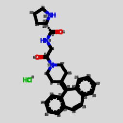 Cl.O=C(NCC(=O)N1CCC(=C2c3ccccc3C=Cc3ccccc32)CC1)[C@@H]1CCCN1